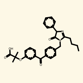 CCCCC1=NC(c2ccccc2)C(=O)N1Cc1ccc(C(=O)c2cccc(OC(C)(C)C(=O)O)c2)cc1